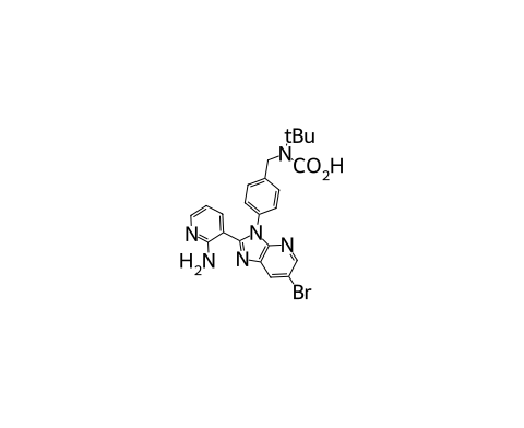 CC(C)(C)N(Cc1ccc(-n2c(-c3cccnc3N)nc3cc(Br)cnc32)cc1)C(=O)O